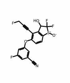 N#Cc1cc(F)cc(Oc2ccc3c(c2C#CCF)C(O)C(F)(F)[S+]3[O-])c1